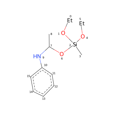 CCO[Si](C)(OCC)OC(C)Nc1ccccc1